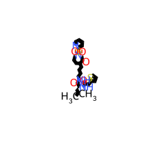 CC(C)C[C@H](NC(=O)Cc1cccs1)C(=O)NCCCCC1CCCN(S(=O)(=O)c2ccccn2)CC1=O